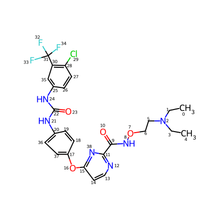 CCN(CC)CCONC(=O)c1nccc(Oc2ccc(NC(=O)Nc3ccc(Cl)c(C(F)(F)F)c3)cc2)n1